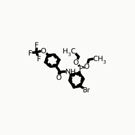 CCOP(OCC)c1cc(Br)ccc1NC(=O)c1ccc(OC(F)(F)F)cc1